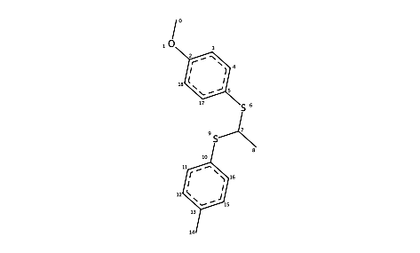 COc1ccc(SC(C)Sc2ccc(C)cc2)cc1